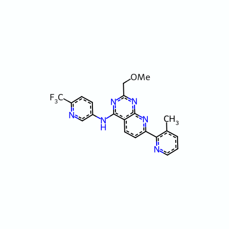 COCc1nc(Nc2ccc(C(F)(F)F)nc2)c2ccc(-c3ncccc3C)nc2n1